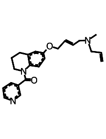 C=CCN(C)CC=CCOc1ccc2c(c1)CCCN2C(=O)c1cccnc1